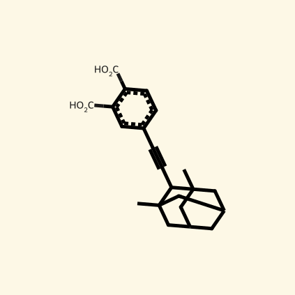 CC12CC3CC(C1)CC(C)(C3)C2C#Cc1ccc(C(=O)O)c(C(=O)O)c1